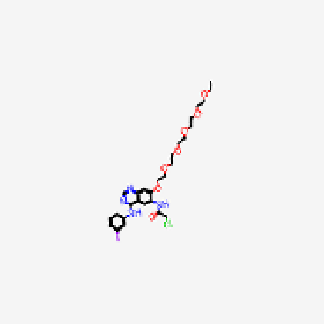 CCOCCOCCOCCOCCOCCOc1cc2ncnc(Nc3cccc(I)c3)c2cc1NC(=O)CCl